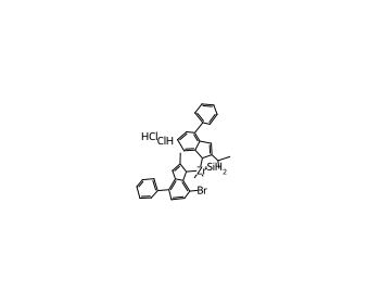 CC1=Cc2c(-c3ccccc3)ccc(Br)c2[CH]1[Zr]([CH3])([CH3])(=[SiH2])[CH]1C(C(C)C)=Cc2c(-c3ccccc3)cccc21.Cl.Cl